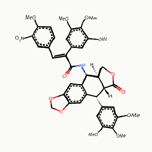 COc1ccc(/C=C(/C(=O)N[C@@H]2c3cc4c(cc3[C@@H](c3cc(OC)c(OC)c(OC)c3)[C@H]3C(=O)OC[C@@H]32)OCO4)c2cc(OC)c(OC)c(OC)c2)cc1[N+](=O)[O-]